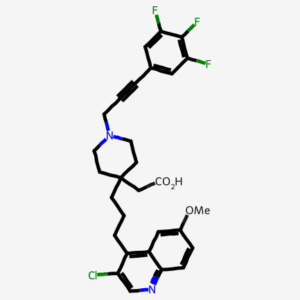 COc1ccc2ncc(Cl)c(CCCC3(CC(=O)O)CCN(CC#Cc4cc(F)c(F)c(F)c4)CC3)c2c1